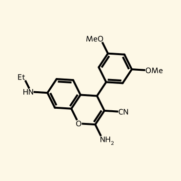 CCNc1ccc2c(c1)OC(N)=C(C#N)C2c1cc(OC)cc(OC)c1